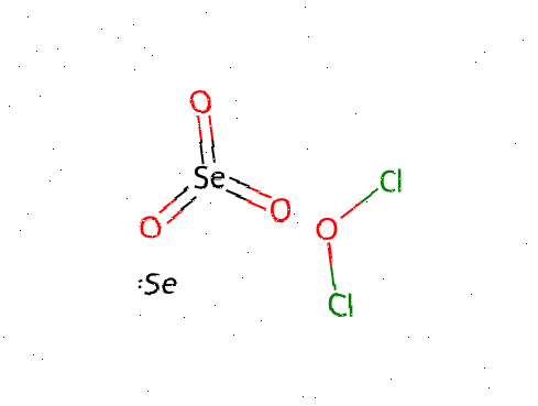 ClOCl.O=[Se](=O)=O.[Se]